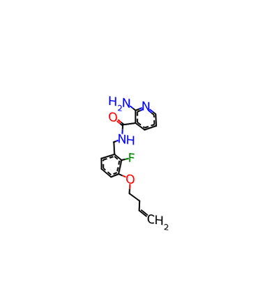 C=CCCOc1cccc(CNC(=O)c2cccnc2N)c1F